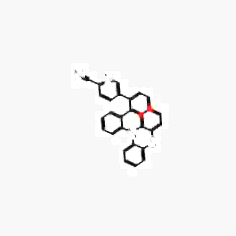 N#Cc1ccc(-c2ccccc2-c2ccccc2N2c3ccccc3Sc3ccccc32)cn1